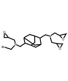 CCC(C)CN(CC1CO1)CC1C2CC3CC1CC(C2)C3CN(CC1CO1)CC1CO1